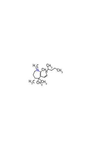 CCCC(C)C/C=C\C1=C(C)N(C)CC[C@@H](C)C1(C)C